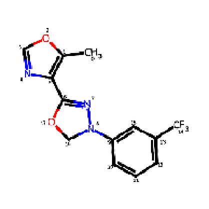 Cc1ocnc1C1=NN(c2[c]ccc(C(F)(F)F)c2)CO1